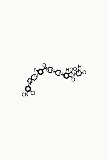 N#Cc1ccc(N2CCC3(CCN(c4ccc(C(=O)N5CCN(C6CCN(c7ccc8c(c7)C(O)N(C7CCC(=O)NC7=O)C8=O)CC6)CC5)cc4F)CC3)C2)cc1Cl